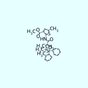 COC(=O)c1cc(C)sc1NC(=O)C(C)O[Si](c1ccccc1)(c1ccccc1)C(C)(C)C